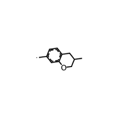 [CH2]c1ccc2c(c1)OCC(C)C2